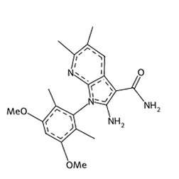 COc1cc(OC)c(C)c(-n2c(N)c(C(N)=O)c3cc(C)c(C)nc32)c1C